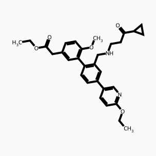 CCOC(=O)Cc1ccc(OC)c(-c2ccc(-c3ccc(OCC)nc3)cc2CNCCC(=O)C2CC2)c1